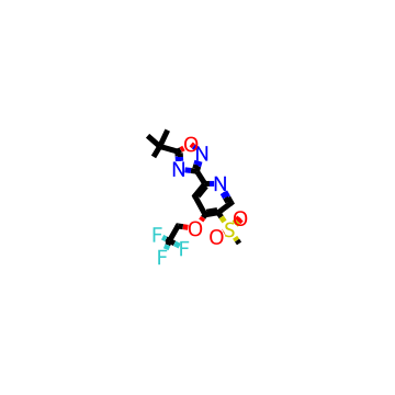 CC(C)(C)c1nc(-c2cc(OCC(F)(F)F)c(S(C)(=O)=O)cn2)no1